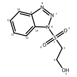 O=S(=O)(CCO)n1nnc2ccccc21